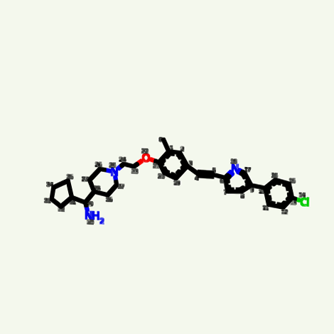 Cc1cc(C#Cc2ccc(-c3ccc(Cl)cc3)cn2)ccc1OCCN1CCC(C(N)C2CCCC2)CC1